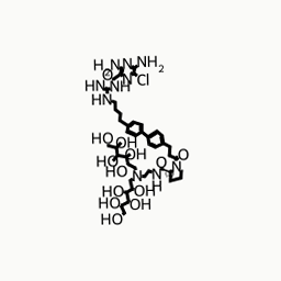 N=C(NCCCCc1ccc(-c2ccc(CCC(=O)N3CCC[C@H]3C(=O)NCCN(CC(O)C(O)C(O)C(O)CO)CC(O)C(O)C(O)C(O)CO)cc2)cc1)NC(=O)c1nc(Cl)c(N)nc1N